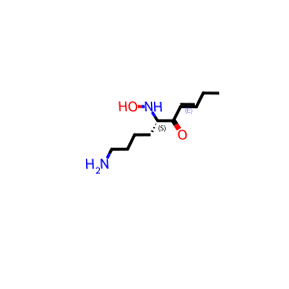 CC/C=C/C(=O)[C@H](CCCCN)NO